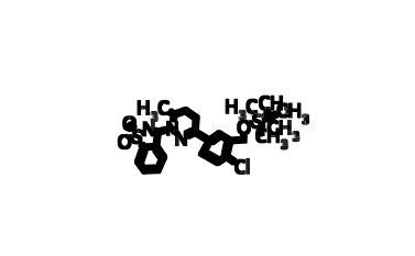 CC1CCC(c2ccc(Cl)c(CO[Si](C)(C)C(C)(C)C)c2)=NN1C1=NS(=O)(=O)c2ccccc21